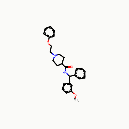 COc1cccc(C(NC(=O)C2CCN(CCOc3ccccc3)CC2)c2ccccc2)c1